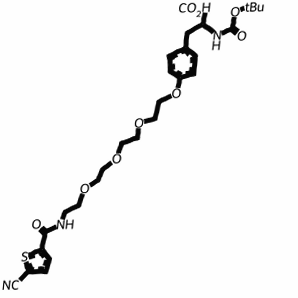 CC(C)(C)OC(=O)NC(Cc1ccc(OCCOCCOCCOCCNC(=O)c2ccc(C#N)s2)cc1)C(=O)O